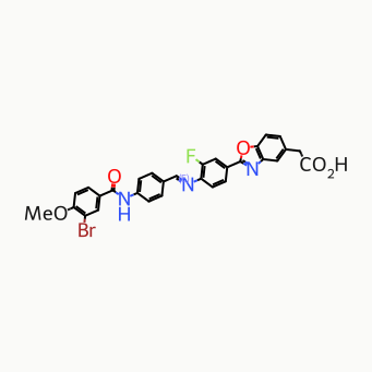 COc1ccc(C(=O)Nc2ccc(/C=N/c3ccc(-c4nc5cc(CC(=O)O)ccc5o4)cc3F)cc2)cc1Br